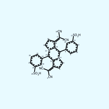 N#CC(C#N)=c1ccn2c(-c3cccc(S(=O)(=O)O)c3)c3c(=C(C#N)C#N)ccn3c(-c3cccc(S(=O)(=O)O)c3)c12